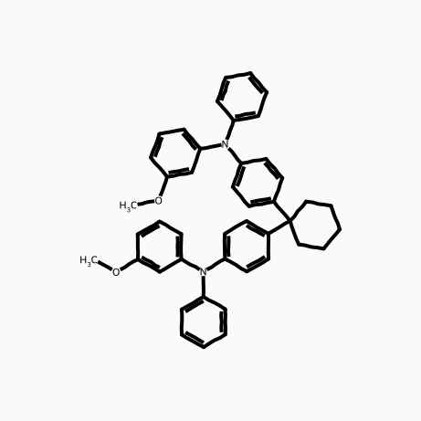 COc1cccc(N(c2ccccc2)c2ccc(C3(c4ccc(N(c5ccccc5)c5cccc(OC)c5)cc4)CCCCC3)cc2)c1